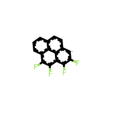 Fc1[c]c2ccc3cccc4c(F)c(F)c(c1F)c2c34